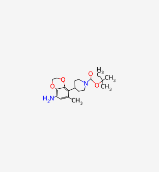 Cc1cc(N)c2c(c1C1CCN(C(=O)OC(C)(C)C)CC1)OCCO2